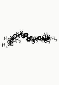 CC(C)(C(=O)NS(C)(=O)=O)N1CCc2nc(C(=O)N3CCc4c(-c5cccc6c5CCN6C(=O)c5nc6c(s5)CN(C(C)(C)C(=O)NS(C)(=O)=O)CC6)cccc43)sc2C1